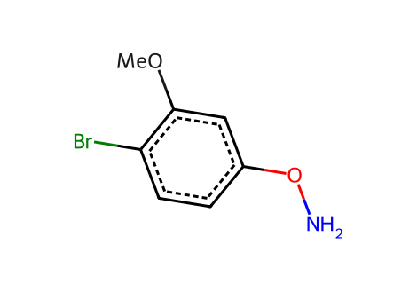 COc1cc(ON)ccc1Br